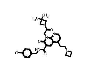 CC1(C)CN(C(=O)Cn2c(=O)c(C(=O)NCc3ccc(Cl)cc3)cc3c(CCN4CCC4)ccnc32)C1